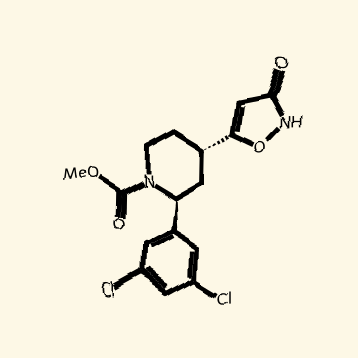 COC(=O)N1CC[C@H](c2cc(=O)[nH]o2)C[C@H]1c1cc(Cl)cc(Cl)c1